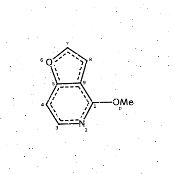 COc1nccc2occc12